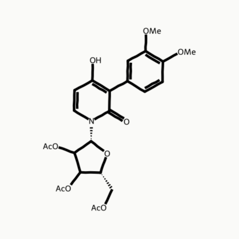 COc1ccc(-c2c(O)ccn([C@@H]3O[C@H](COC(C)=O)C(OC(C)=O)C3OC(C)=O)c2=O)cc1OC